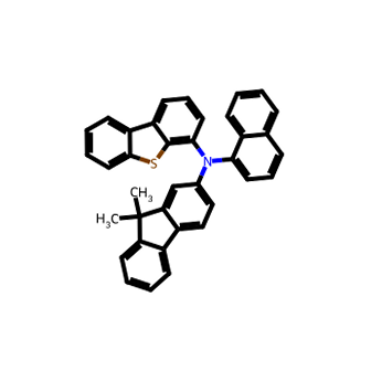 CC1(C)c2ccccc2-c2ccc(N(c3cccc4ccccc34)c3cccc4c3sc3ccccc34)cc21